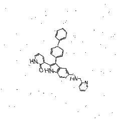 O=c1[nH]cccc1-c1[nH]c2ccc(CNCc3ccccn3)cc2c1C1=CCC(C2=CCCC=C2)C=C1